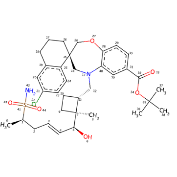 C[C@H](C/C=C/[C@H](O)[C@@]1(C)CC[C@@H]1CN1C[C@@]2(CCCc3cc(Cl)ccc32)COc2ccc(C(=O)OC(C)(C)C)cc21)S(N)(=O)=O